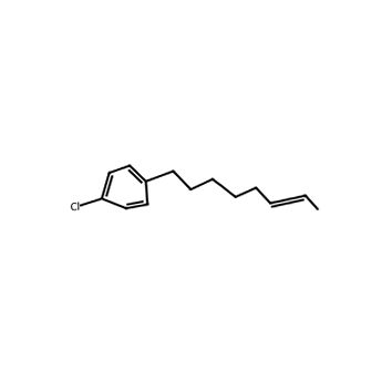 C/C=C/CCCCCc1ccc(Cl)cc1